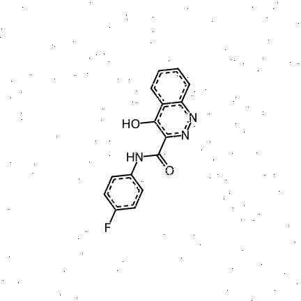 O=C(Nc1ccc(F)cc1)c1nnc2ccccc2c1O